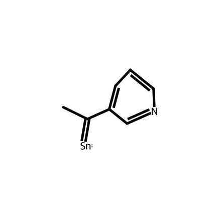 C[C](=[Sn])c1cccnc1